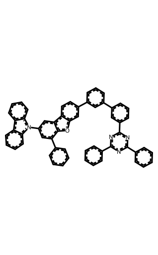 c1ccc(-c2nc(-c3ccccc3)nc(-c3cccc(-c4cccc(-c5ccc6c(c5)oc5c(-c7ccccc7)cc(-n7c8ccccc8c8ccccc87)cc56)c4)c3)n2)cc1